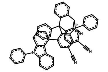 N#Cc1ccc2c(c1)C1c3ccccc3C2(c2ccccc2)c2c(-c3cccc4c3c3ccccc3n4-c3ccccc3)cc(C#N)cc2[C@H]1c1ccccc1